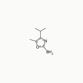 Bc1nc(C(C)C)c(C)o1